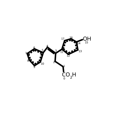 O=C(O)CC/C(=C\c1ccccc1)c1ccc(O)cc1